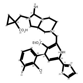 CCOC(=O)C1=C(CN2CCN3C(C2)CN(CC2(C(=O)O)CC2)C3S)NC(c2nccs2)=C[C@H]1c1cccc(F)c1Cl